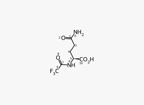 NC(=O)CC[C@H](NC(=O)C(F)(F)F)C(=O)O